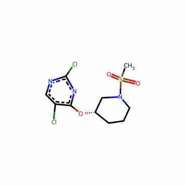 CS(=O)(=O)N1CCC[C@H](Oc2nc(Cl)ncc2Cl)C1